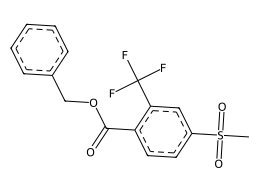 CS(=O)(=O)c1ccc(C(=O)OCc2ccccc2)c(C(F)(F)F)c1